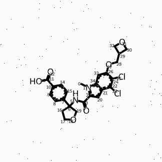 Cn1c(C(=O)NC2(c3ccc(C(=O)O)cc3)CCOC2)cc2c(Cl)c(Cl)c(OCC3COC3)cc21